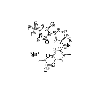 Cc1ccc(OC(C)C(=O)[O-])cc1-c1nsc2ccc(-n3c(=O)cc(C(F)(F)F)n(C)c3=O)cc12.[Na+]